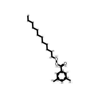 [CH2]CCCCCCCCCC[CH]OOC(=O)c1cc(C)cc(C)c1